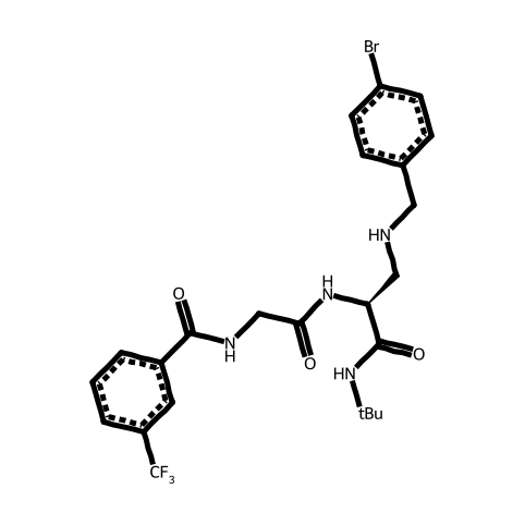 CC(C)(C)NC(=O)[C@H](CNCc1ccc(Br)cc1)NC(=O)CNC(=O)c1cccc(C(F)(F)F)c1